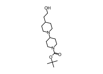 CC(C)(C)OC(=O)N1CCC(N2CCC(CCO)CC2)CC1